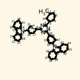 Cc1cccc(-c2nc(-c3ccc(-n4c5ccccc5c5ccccc54)cc3)nc(-c3ccc(-n4c5ccccc5c5ccccc54)cc3)n2)c1